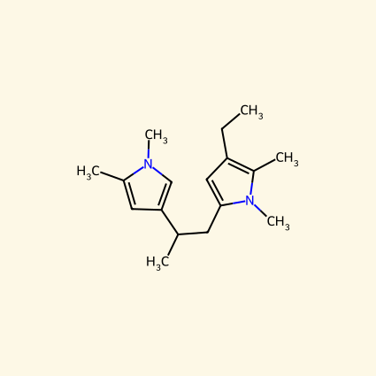 CCc1cc(CC(C)c2cc(C)n(C)c2)n(C)c1C